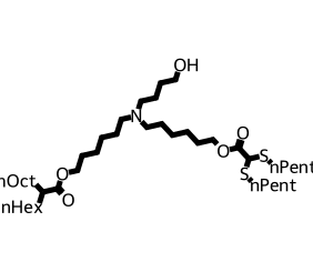 CCCCCCCCC(CCCCCC)C(=O)OCCCCCCN(CCCCO)CCCCCCOC(=O)C(SCCCCC)SCCCCC